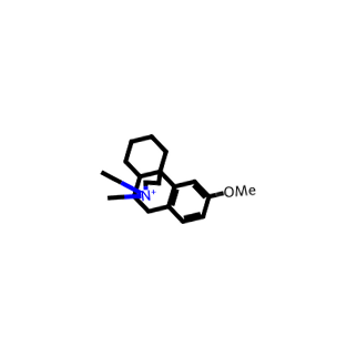 COc1ccc2c(c1)C13CCCCC1C(C2)[N+](C)(C)CC3